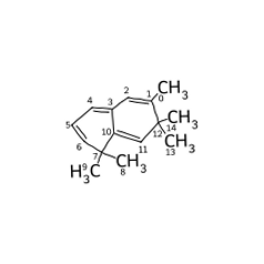 CC1=CC2=CC=CC(C)(C)C2=CC1(C)C